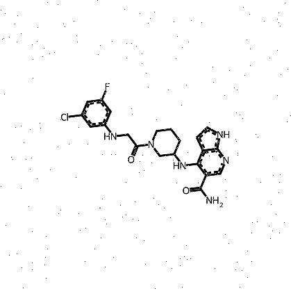 NC(=O)c1cnc2[nH]ccc2c1NC1CCCN(C(=O)CNc2cc(F)cc(Cl)c2)C1